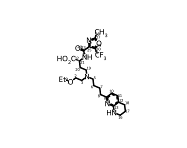 CCOCCN(CCCCc1ccc2c(n1)NCCC2)CC[C@H](NC(=O)c1nc(C)oc1C(F)(F)F)C(=O)O